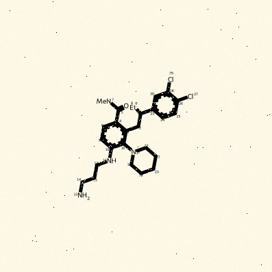 CCC(Cc1c(C(=O)NC)ccc(NCCCN)c1N1CCCCC1)c1ccc(Cl)c(Cl)c1